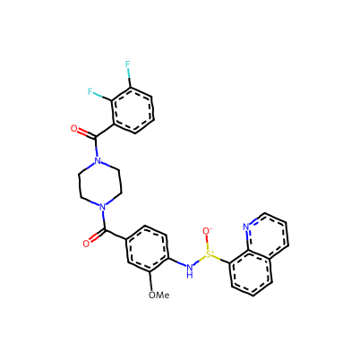 COc1cc(C(=O)N2CCN(C(=O)c3cccc(F)c3F)CC2)ccc1N[S+]([O-])c1cccc2cccnc12